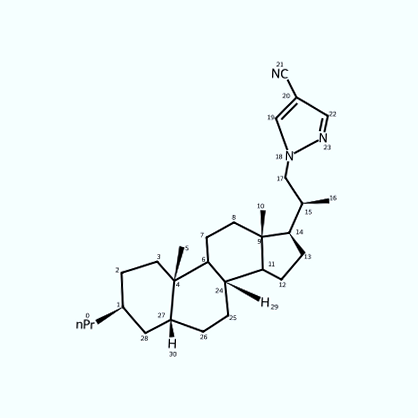 CCC[C@H]1CC[C@]2(C)C3CC[C@@]4(C)C(CC[C@@H]4[C@H](C)Cn4cc(C#N)cn4)[C@@H]3CC[C@@H]2C1